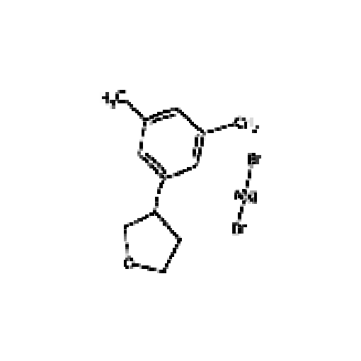 Cc1cc(C)cc(C2CCOC2)c1.[Br][Mg][Br]